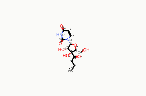 CC(=O)CCC(=O)[C@@]1(O)[C@@H](CO)O[C@@H](n2ccc(=O)[nH]c2=O)[C@@H]1O